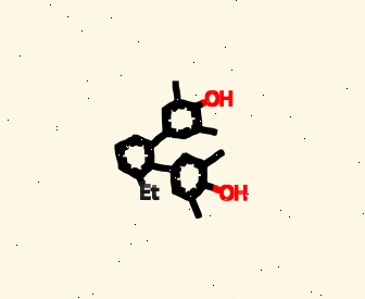 CCc1cccc(-c2cc(C)c(O)c(C)c2)c1-c1cc(C)c(O)c(C)c1